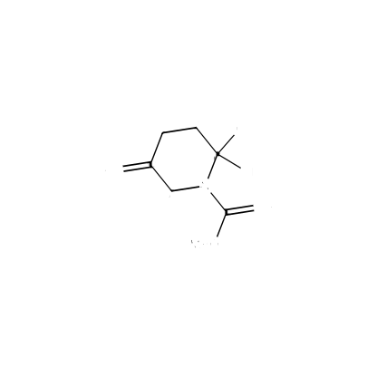 COC(=O)N1CC(=O)CCC1(C)C